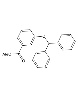 COC(=O)c1cccc(OC(c2ccccc2)c2cccnc2)c1